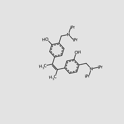 CC(=C(C)c1ccc(CN(C(C)C)C(C)C)c(O)c1)c1ccc(CN(C(C)C)C(C)C)c(O)c1